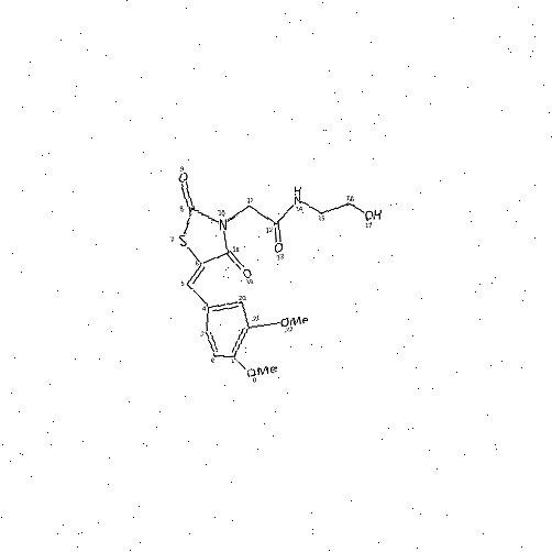 COc1ccc(C=C2SC(=O)N(CC(=O)NCCO)C2=O)cc1OC